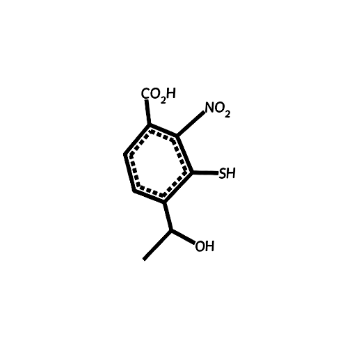 CC(O)c1ccc(C(=O)O)c([N+](=O)[O-])c1S